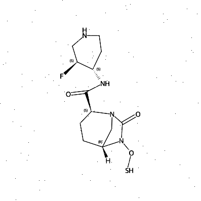 O=C(N[C@H]1CCNC[C@@H]1F)[C@@H]1CC[C@@H]2CN1C(=O)N2OS